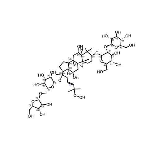 CC(C)(/C=C/C[C@](C)(O[C@@H]1O[C@H](CO[C@@H]2O[C@H](CO)[C@@H](O)[C@@H]2O)[C@@H](O)[C@H](O)[C@H]1O)[C@H]1CC[C@]2(C)[C@@H]1[C@H](O)C[C@@H]1[C@@]3(C)CC[C@H](O[C@@H]4O[C@H](CO)[C@@H](O)[C@H](O)[C@H]4O[C@@H]4O[C@H](CO)[C@@H](O)[C@H](O)[C@H]4O)C(C)(C)[C@@H]3[C@@H](O)C[C@]12C)OO